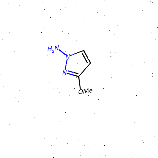 COc1ccn(N)n1